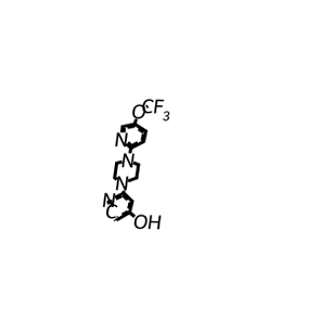 Oc1ccnc(N2CCN(c3ccc(OC(F)(F)F)cn3)CC2)c1